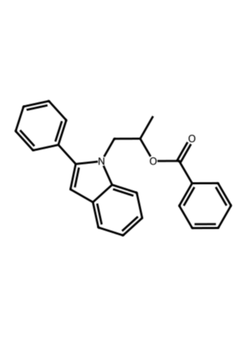 CC(Cn1c(-c2ccccc2)cc2ccccc21)OC(=O)c1ccccc1